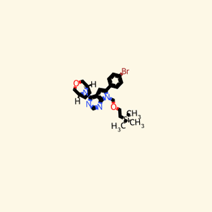 C[Si](C)(C)CCOCn1c(-c2ccc(Br)cc2)cc2c(N3[C@@H]4CC[C@H]3COC4)ncnc21